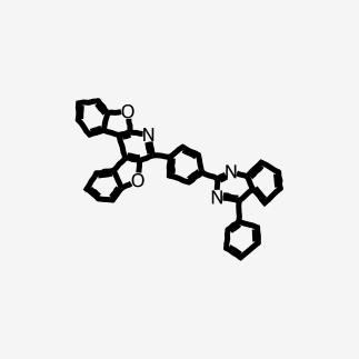 c1ccc(-c2nc(-c3ccc(-c4nc5oc6ccccc6c5c5c4oc4ccccc45)cc3)nc3ccccc23)cc1